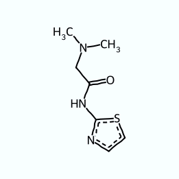 CN(C)CC(=O)Nc1nccs1